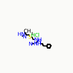 Cc1[nH]cnc1CSCCN/C(=N/C/C=C/c1ccccc1)NC#N.Cl